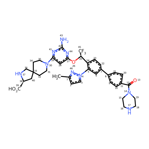 Cc1ccn(-c2cc(-c3ccc(C(=O)N4CCNCC4)cc3)ccc2[C@@H](Oc2cc(N3CCC4(CC3)CN[C@H](C(=O)O)C4)nc(N)n2)C(F)(F)F)n1